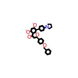 COc1cc(OC)c2c(=O)cc(-c3ccc(OCc4ccccc4)cc3)oc2c1-c1ccc(N2CCCC2)cc1